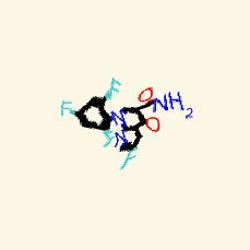 NC(=O)c1cn(-c2c(F)cc(F)cc2F)c2ncc(F)cc2c1=O